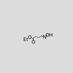 CCOC(=O)CCC=NO